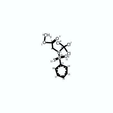 COC(=O)CN(C(Cl)(Cl)Cl)S(=O)(=S)c1ccccc1